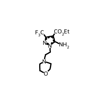 CCOC(=O)c1c(C(F)(F)F)nn(CCN2CCOCC2)c1N